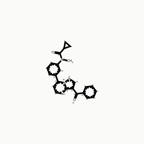 CN(C(=O)C1CC1)c1cccc(-c2ccnc3c(C(=O)c4ccccc4)cnn23)c1